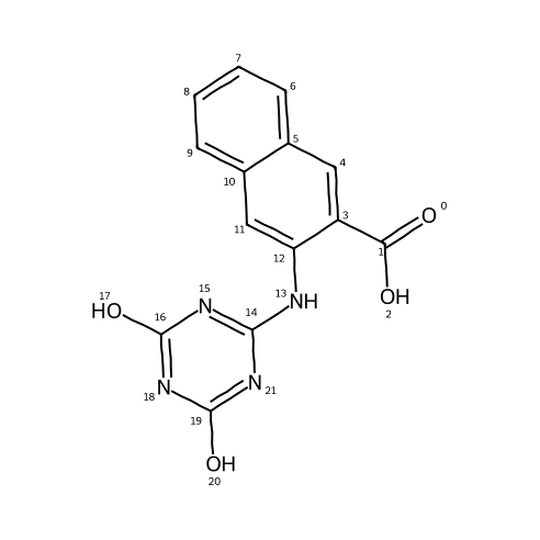 O=C(O)c1cc2ccccc2cc1Nc1nc(O)nc(O)n1